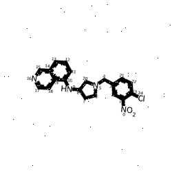 O=[N+]([O-])c1cc(CN2CCC(Nc3cccc4cnccc34)C2)ccc1Cl